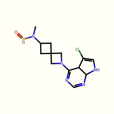 CN([SH]=O)C1CC2(C1)CN(C1=NC=NC3NC=C(Cl)C13)C2